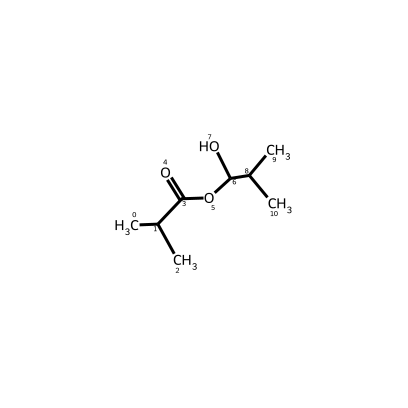 CC(C)C(=O)OC(O)C(C)C